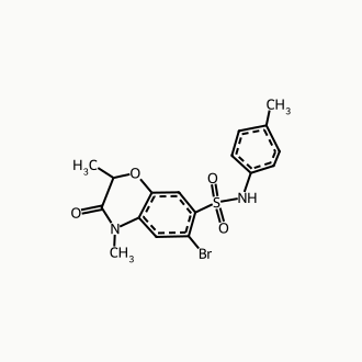 Cc1ccc(NS(=O)(=O)c2cc3c(cc2Br)N(C)C(=O)C(C)O3)cc1